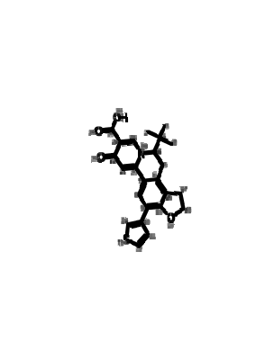 CC(C)(C)C1Cc2c(cc(-c3ccsc3)c3c2CCO3)-c2cc(=O)c(C(=O)O)cn21